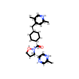 Cc1cnc([C@@H]2CCON2C(=O)[C@H]2CC[C@H](Cc3cc(C)ncc3C)CC2)cn1